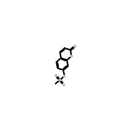 CS(=O)(=O)Oc1ccc2ccc(=O)oc2c1